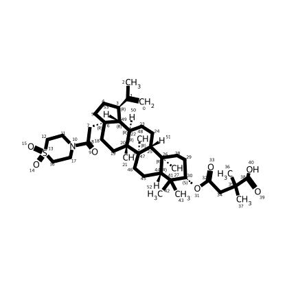 C=C(C)[C@@H]1CC[C@]2(CC(=O)N3CCS(=O)(=O)CC3)CC[C@]3(C)[C@H](CC[C@@H]4[C@@]5(C)CC[C@H](OC(=O)CC(C)(C)C(=O)O)C(C)(C)[C@@H]5CC[C@]43C)[C@@H]12